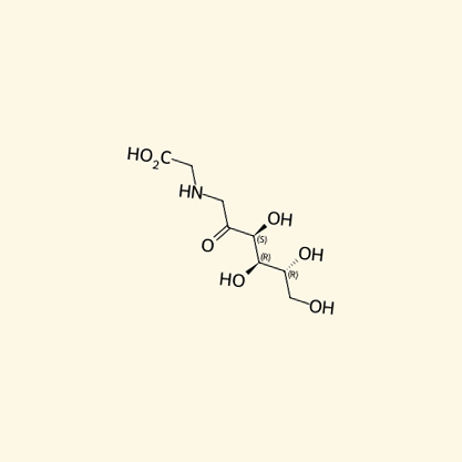 O=C(O)CNCC(=O)[C@@H](O)[C@H](O)[C@H](O)CO